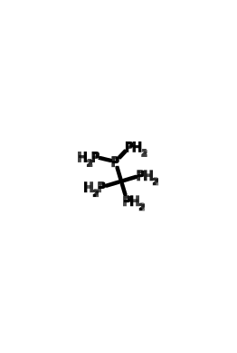 PP(P)C(P)(P)P